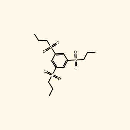 CCCS(=O)(=O)c1cc(S(=O)(=O)CCC)cc(S(=O)(=O)CCC)c1